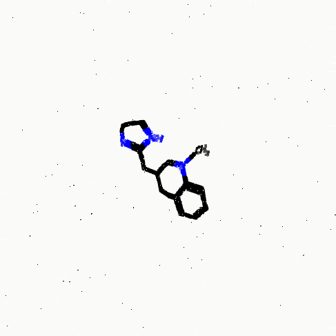 CN1CC(CC2=NCCN2)Cc2ccccc21